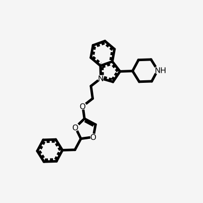 C1=C(OCCn2cc(C3CCNCC3)c3ccccc32)OC(Cc2ccccc2)O1